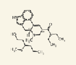 CCCC(CCO)SC.CCN(CC)C(=O)[C@@H]1C=C2c3cccc4[nH]cc(c34)C[C@H]2N(C)C1